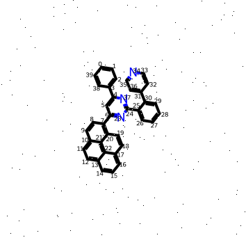 c1ccc(-c2cc(-c3ccc4ccc5cccc6ccc3c4c56)nc(-c3ccccc3-c3ccncc3)n2)cc1